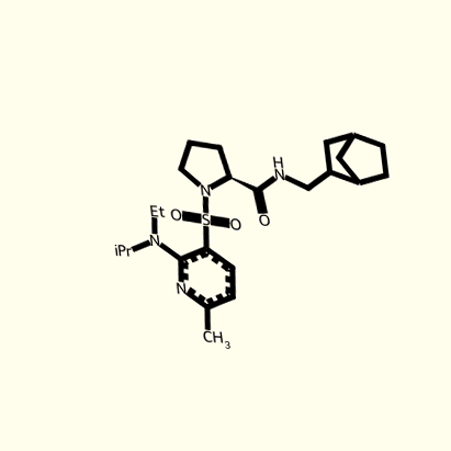 CCN(c1nc(C)ccc1S(=O)(=O)N1CCC[C@H]1C(=O)NCC1CC2CCC1C2)C(C)C